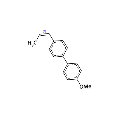 C/C=C\c1ccc(-c2ccc(OC)cc2)cc1